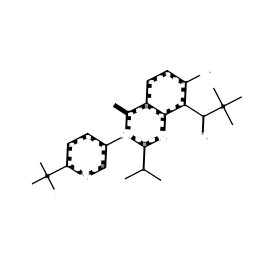 CC(C)c1nc2c(C(O)C(C)(C)C)c(O)ccc2c(=O)n1-c1ccc(C(F)(F)F)nc1